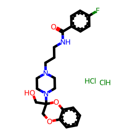 Cl.Cl.O=C(NCCCN1CCN(C2(CO)COc3ccccc3O2)CC1)c1ccc(F)cc1